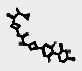 CN(C(=O)N1CC(OC(=S)NC2CN(c3cc(F)c(C4CCC(=O)NC4=O)c(F)c3)C2)C1)C1CC1